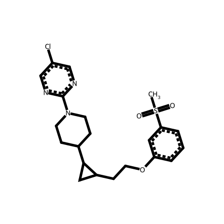 CS(=O)(=O)c1cccc(OCCC2CC2C2CCN(c3ncc(Cl)cn3)CC2)c1